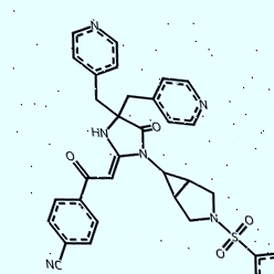 N#Cc1ccc(C(=O)C=C2NC(Cc3ccncc3)(Cc3ccncc3)C(=O)N2C2C3CN(S(=O)(=O)c4cccs4)CC32)cc1